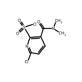 CN(C)C(=O)c1ccc(Cl)nc1S(=O)(=O)Cl